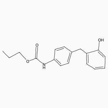 CCCOC(=O)Nc1ccc(Cc2ccccc2O)cc1